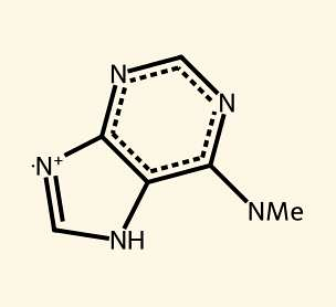 CNc1ncnc2c1NC=[N+]2